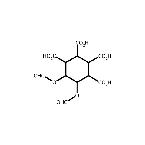 O=COC1C(OC=O)C(C(=O)O)C(C(=O)O)C(C(=O)O)C1C(=O)O